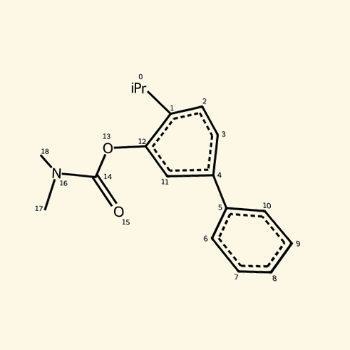 CC(C)c1ccc(-c2ccccc2)cc1OC(=O)N(C)C